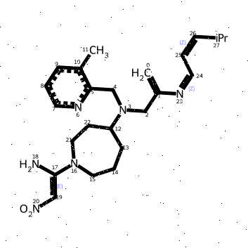 C=C(CN(Cc1ncccc1C)C1CCCN(/C(N)=C/[N+](=O)[O-])CC1)/N=C\C=C/C(C)C